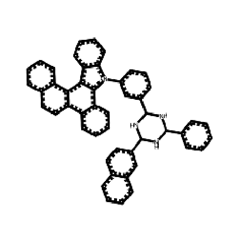 c1ccc(C2NC(c3cccc(-n4c5ccccc5c5c6c7ccccc7ccc6c6ccccc6c54)c3)NC(c3ccc4ccccc4c3)N2)cc1